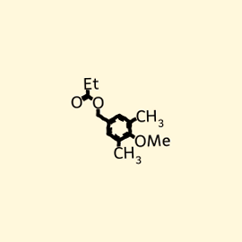 CCC(=O)OCc1cc(C)c(OC)c(C)c1